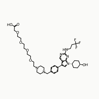 O=C(O)COCCOCCOCCOCCN1CCN(Cc2ccc(-c3cn([C@H]4CC[C@H](O)CC4)c4nc(NCCC(F)(F)F)ncc34)cc2)CC1